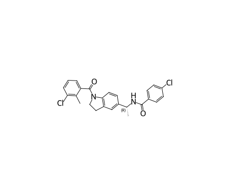 Cc1c(Cl)cccc1C(=O)N1CCc2cc([C@@H](C)NC(=O)c3ccc(Cl)cc3)ccc21